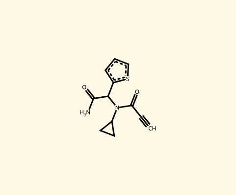 C#CC(=O)N(C1CC1)C(C(N)=O)c1cccs1